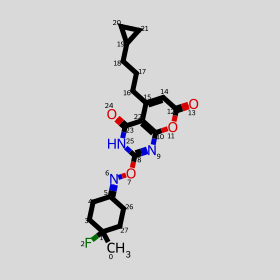 CC1(F)CCC(=NOc2nc3oc(=O)cc(CCCC4CC4)c3c(=O)[nH]2)CC1